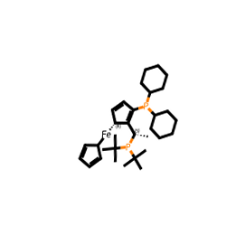 C[C@@H](C1=C(P(C2CCCCC2)C2CCCCC2)C=C[C@H]1[Fe][CH]1C=CC=C1)P(C(C)(C)C)C(C)(C)C